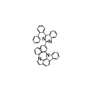 c1ccc(-c2ccccc2-c2nc(-c3cccc(-n4c5ccccc5c5ccc6ccn(-c7ccccc7)c6c54)c3)nc3ccccc23)cc1